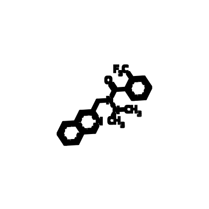 CN(C)N(Cc1cc2ccccc2cn1)C(=O)c1ccccc1C(F)(F)F